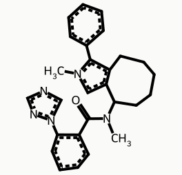 CN(C(=O)c1ccccc1-n1cncn1)C1CCCCCc2c1cn(C)c2-c1ccccc1